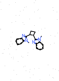 Cn1c(C2CCC2c2nc3ccccc3n2C)nc2ccccc21